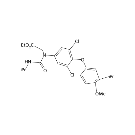 CCOC(=O)CN(C(=O)NC(C)C)c1cc(Cl)c(Oc2ccc(OC)c(C(C)C)c2)c(Cl)c1